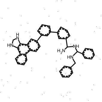 NC(NC(NCc1ccccc1)c1ccccc1)c1cccc(-c2cccc(-c3ccc4c(c3)c3c(c5ccccc54)NCN3)c2)c1